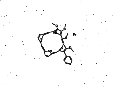 COC1=C(c2ccccc2)c2cc3ccc(cc4nc(cc5[nH]c(c(OC)c1n2)c(OC)c5OC)C=C4)[nH]3.[Fe]